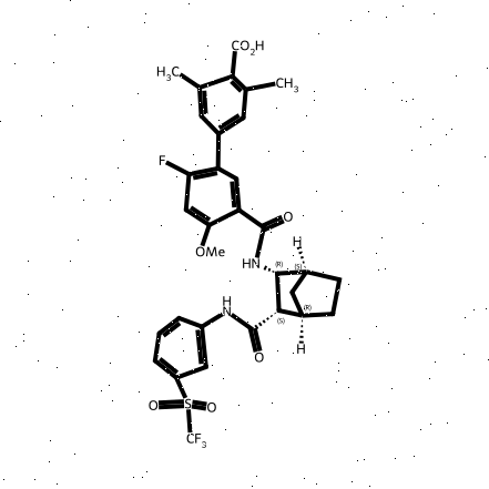 COc1cc(F)c(-c2cc(C)c(C(=O)O)c(C)c2)cc1C(=O)N[C@@H]1[C@H]2CC[C@H](C2)[C@@H]1C(=O)Nc1cccc(S(=O)(=O)C(F)(F)F)c1